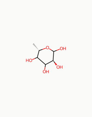 C[C@@H]1OC(O)[C@@H](O)C(O)C1O